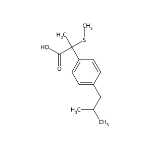 CSC(C)(C(=O)O)c1ccc(CC(C)C)cc1